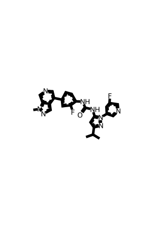 CC(C)c1cc(NC(=O)Nc2ccc(-c3cncc4c3cnn4C)cc2F)n(-c2cncc(F)c2)n1